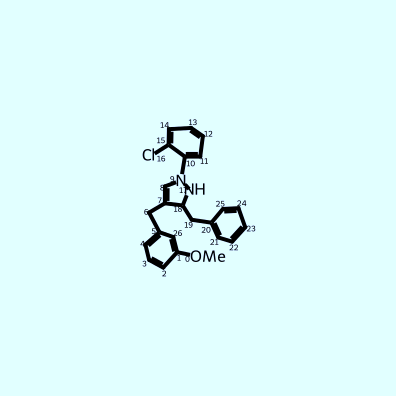 COc1cccc(CC2=CN(c3ccccc3Cl)NC2Cc2ccccc2)c1